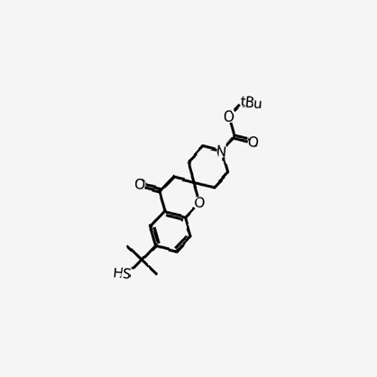 CC(C)(C)OC(=O)N1CCC2(CC1)CC(=O)c1cc(C(C)(C)S)ccc1O2